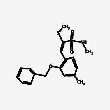 CNS(=O)(=O)C(=Cc1ccc(C)cc1OCc1ccccc1)SC